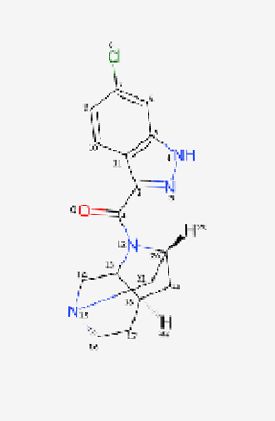 O=C(c1n[nH]c2cc(Cl)ccc12)N1C2C[N@@]3CC[C@@H]2C[C@@H]1C3